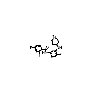 CN1CCC(Nc2cc(NC(=O)c3ccc(F)cc3F)ccc2F)CC1